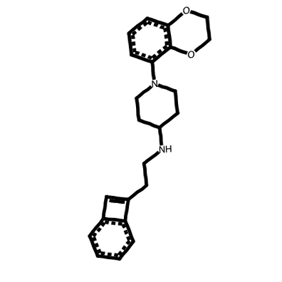 C1=C(CCNC2CCN(c3cccc4c3OCCO4)CC2)c2ccccc21